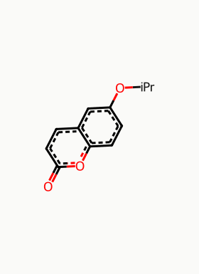 CC(C)Oc1ccc2oc(=O)ccc2c1